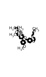 COCCCN1CCOc2ccc(CO[C@H]3CN[C@@H](CC(C)(C)OC(=O)N(C)C)C[C@@H]3c3ccc(OC)cc3)cc21